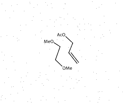 C=CCOC(C)=O.COCCOC